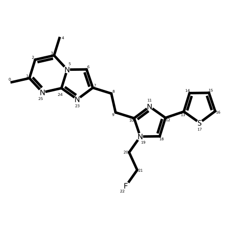 Cc1cc(C)n2cc(CCc3nc(-c4cccs4)cn3CCF)nc2n1